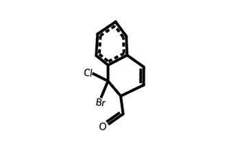 O=CC1C=Cc2ccccc2C1(Cl)Br